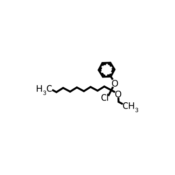 CCCCCCCCCC(Cl)(OCC)Oc1ccccc1